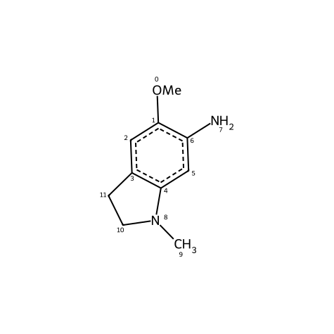 COc1cc2c(cc1N)N(C)CC2